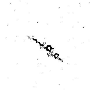 CCCCCCC(=O)Nc1ccc(I)c(S(=O)(=O)N[C@@H]2CCN(C#N)C2)c1